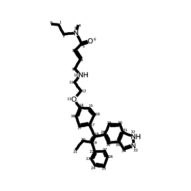 CCCN(C)C(=O)C=CCNCCOc1ccc(C(=C(CC)c2ccccc2)c2ccc3[nH]ncc3c2)cc1